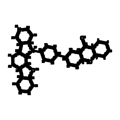 O=c1c2ccccc2oc2ccc(-c3ccc(-n4c5ccncc5c5ccc6c7ccccc7oc6c54)cc3)cc12